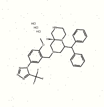 COc1ccc(-n2nnnc2C(F)(F)F)cc1CN1CC(C(c2ccccc2)c2ccccc2)N2CCNC[C@H]2C1.Cl.Cl.Cl